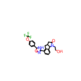 O=C1CC2Cc3c(C4=NOC(c5ccc(OC(F)(F)F)cc5)N4)cccc3C2N1CCO